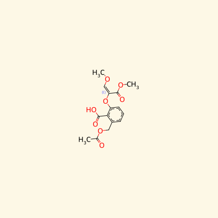 CO/C=C(/Oc1cccc(COC(C)=O)c1C(=O)O)C(=O)OC